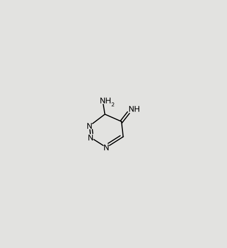 N=C1C=NN=NC1N